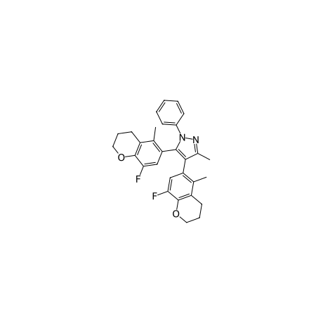 Cc1nn(-c2ccccc2)c(-c2cc(F)c3c(c2C)CCCO3)c1-c1cc(F)c2c(c1C)CCCO2